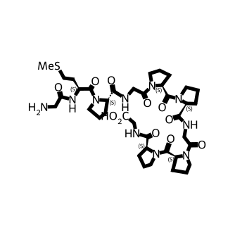 CSCC[C@H](NC(=O)CN)C(=O)N1CCC[C@H]1C(=O)NCC(=O)N1CCC[C@H]1C(=O)N1CCC[C@H]1C(=O)NCC(=O)N1CCC[C@H]1C(=O)N1CCC[C@H]1C(=O)NCC(=O)O